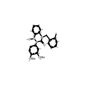 COc1ccc(N2C(=O)N(Cc3ccccc3C)c3ccccc3[S+]2[O-])cc1OC